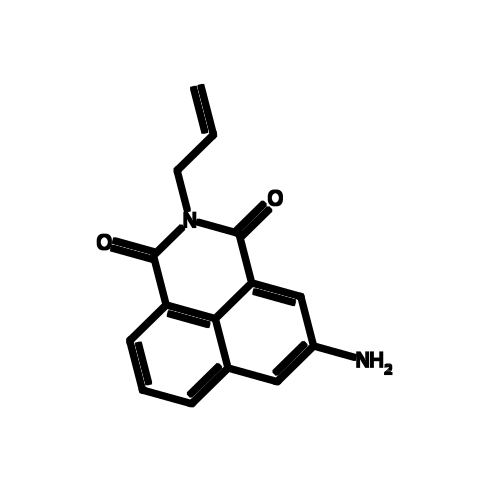 C=CCN1C(=O)c2cccc3cc(N)cc(c23)C1=O